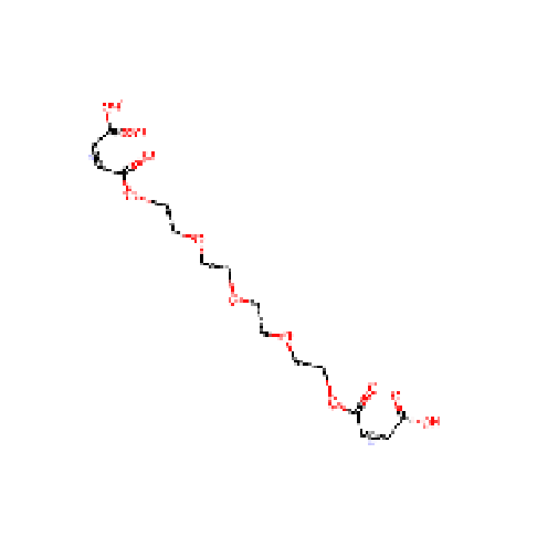 O=C(O)/C=C\C(=O)OCCOCCOCCOCCOC(=O)/C=C\C(=O)O